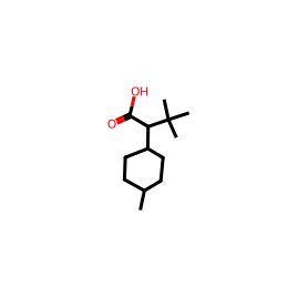 CC1CCC(C(C(=O)O)C(C)(C)C)CC1